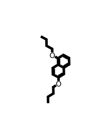 CCCCOc1ccc2c(OCCCC)cccc2c1